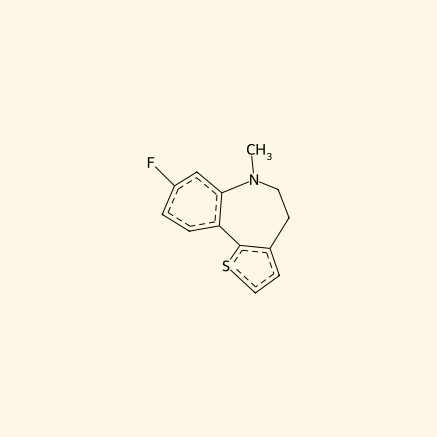 CN1CCc2ccsc2-c2ccc(F)cc21